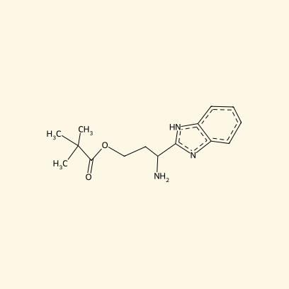 CC(C)(C)C(=O)OCCC(N)c1nc2ccccc2[nH]1